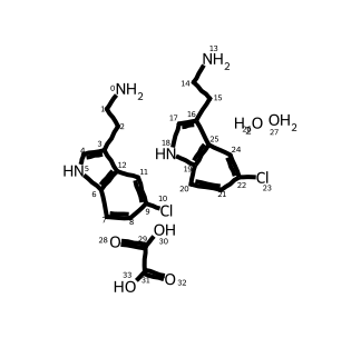 NCCc1c[nH]c2ccc(Cl)cc12.NCCc1c[nH]c2ccc(Cl)cc12.O.O.O=C(O)C(=O)O